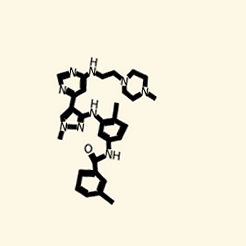 Cc1cccc(C(=O)Nc2ccc(C)c(Nc3nn(C)cc3-c3cc(NCCN4CCN(C)CC4)ncn3)c2)c1